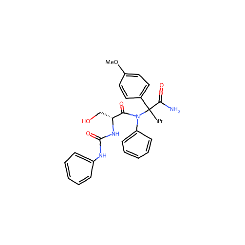 COc1ccc(C(C(N)=O)(C(C)C)N(C(=O)[C@@H](CO)NC(=O)Nc2ccccc2)c2ccccc2)cc1